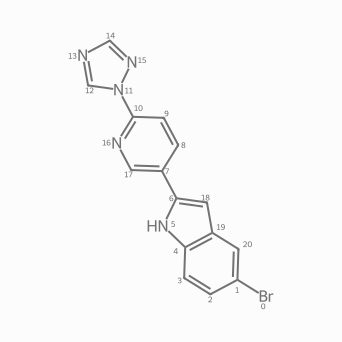 Brc1ccc2[nH]c(-c3ccc(-n4cncn4)nc3)cc2c1